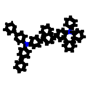 c1ccc(-c2ccc(N(c3ccc(-c4ccccc4)cc3)c3ccc(-c4ccc(-c5ccc6c(c5)-c5ccccc5-c5ccccc5N6c5ccccc5)c5ccccc45)cc3)cc2)cc1